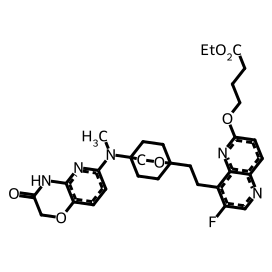 CCOC(=O)CCCOc1ccc2ncc(F)c(CCC34CCC(N(C)c5ccc6c(n5)NC(=O)CO6)(CC3)CO4)c2n1